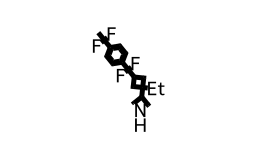 CCC1(C2CNC2)CC(C(F)(F)c2ccc(C(C)(F)F)cc2)C1